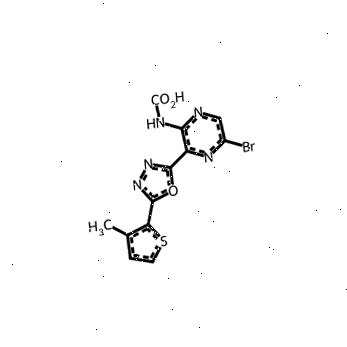 Cc1ccsc1-c1nnc(-c2nc(Br)cnc2NC(=O)O)o1